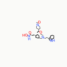 C=C(OCCN(CCc1c[nH]c2ccccc12)Cc1ccc(/C=C/C(=O)NO)cc1)C1CCN(C(C)=O)CC1